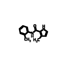 Cc1ccccc1NC(=O)c1[nH]ccc1C